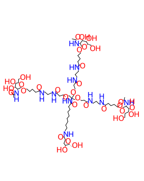 CC(=O)NC1C(OCCCCC(=O)NCCCNC(=O)CCOCC(COCCC(=O)NCCCNC(=O)CCCCOC2OC(CO)C(O)C(O)C2NC(C)=O)(COCCC(=O)NCCCNC(=O)CCCCOC2O[C@H](CO)C(O)C(O)C2NC(C)=O)NC(=O)CCCCCCCCCNC(=O)C2C[C@H](O)[C@@H](CO)O2)OC(CO)C(O)C1O